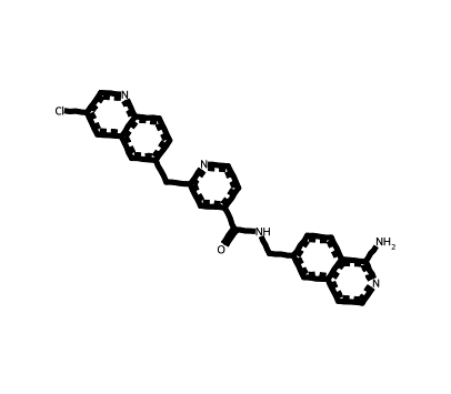 Nc1nccc2cc(CNC(=O)c3ccnc(Cc4ccc5ncc(Cl)cc5c4)c3)ccc12